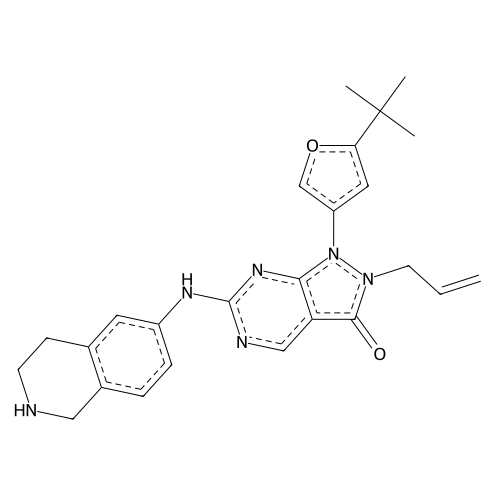 C=CCn1c(=O)c2cnc(Nc3ccc4c(c3)CCNC4)nc2n1-c1coc(C(C)(C)C)c1